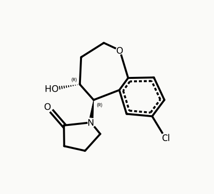 O=C1CCCN1[C@@H]1c2cc(Cl)ccc2OCC[C@H]1O